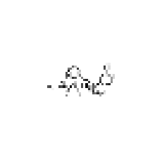 CC(C)(C)OC(=O)N(C(=O)OC(C)(C)C)c1ncccc1C#Cc1nccc2cnc(Cl)cc12